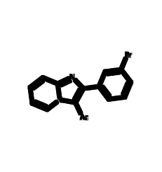 CC(=O)c1c(-c2cccc(Br)c2)nc2ccccn12